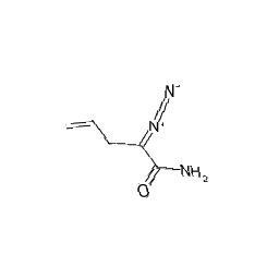 C=CCC(=[N+]=[N-])C(N)=O